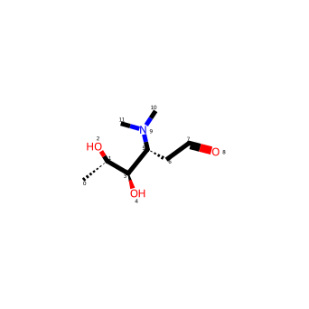 C[C@H](O)[C@H](O)[C@@H](CC=O)N(C)C